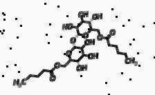 CCCCCC(=O)OCC1O[C@H](O[C@H]2OC(COC(=O)CCCC)[C@@H](O)C(O)C2O)C(O)C(O)[C@@H]1O